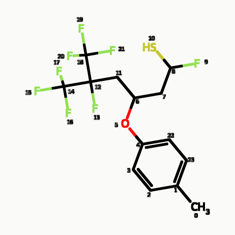 Cc1ccc(OC(CC(F)S)CC(F)(C(F)(F)F)C(F)(F)F)cc1